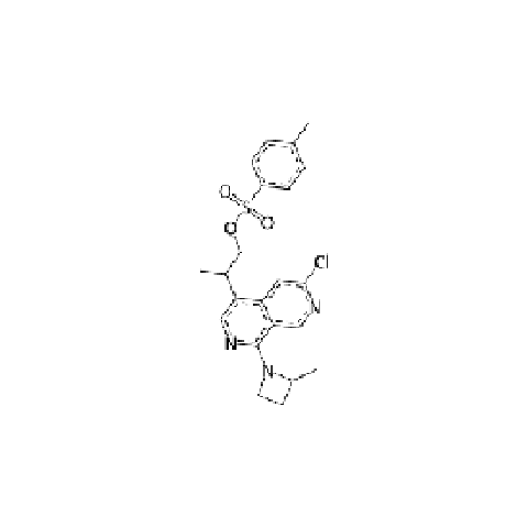 Cc1ccc(S(=O)(=O)OCC(C)c2cnc(N3CCC3C)c3cnc(Cl)cc23)cc1